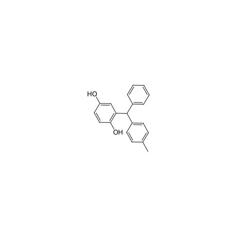 Cc1ccc(C(c2ccccc2)c2cc(O)ccc2O)cc1